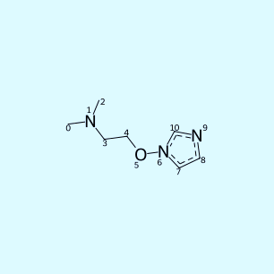 CN(C)CCOn1ccnc1